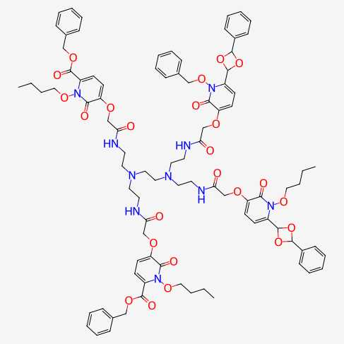 CCCCOn1c(C(=O)OCc2ccccc2)ccc(OCC(=O)NCCN(CCNC(=O)COc2ccc(C(=O)OCc3ccccc3)n(OCCCC)c2=O)CCN(CCNC(=O)COc2ccc(C3OC(c4ccccc4)O3)n(OCCCC)c2=O)CCNC(=O)COc2ccc(C3OC(c4ccccc4)O3)n(OCc3ccccc3)c2=O)c1=O